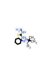 CC(C)(C)/N=N/C1(NC(=S)NN)CCCCC1